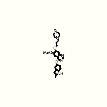 COc1cc2c(Oc3ccc4[nH]c(C)cc4c3)ncnc2cc1OCCCN1CCN(C)CC1